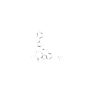 COc1ccc2c(NC(=O)c3ccc(-c4ccccc4)o3)c(C(N)=O)oc2c1